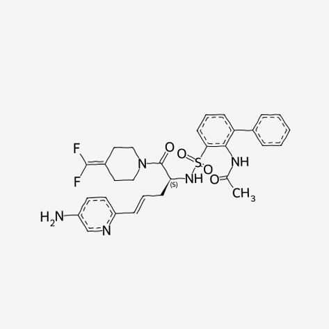 CC(=O)Nc1c(-c2ccccc2)cccc1S(=O)(=O)N[C@@H](CC=Cc1ccc(N)cn1)C(=O)N1CCC(=C(F)F)CC1